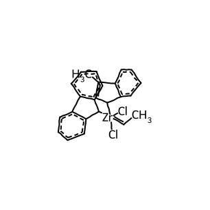 C[CH]=[Zr]([Cl])([Cl])([CH]1C=C(C)c2ccccc21)[CH]1c2ccccc2-c2ccccc21